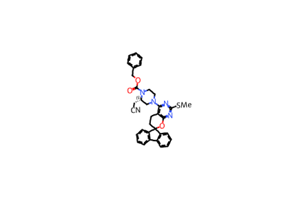 CSc1nc2c(c(N3CCN(C(=O)OCc4ccccc4)[C@@H](CC#N)C3)n1)CCC1(O2)c2ccccc2-c2ccccc21